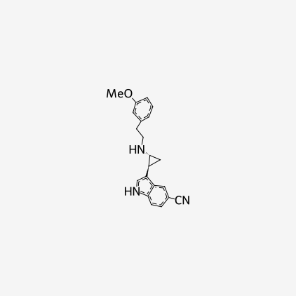 COc1cccc(CCN[C@@H]2C[C@H]2c2c[nH]c3ccc(C#N)cc23)c1